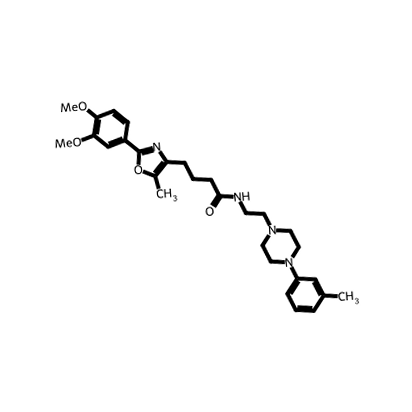 COc1ccc(-c2nc(CCCC(=O)NCCN3CCN(c4cccc(C)c4)CC3)c(C)o2)cc1OC